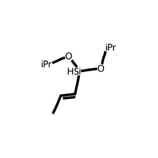 CC=C[SiH](OC(C)C)OC(C)C